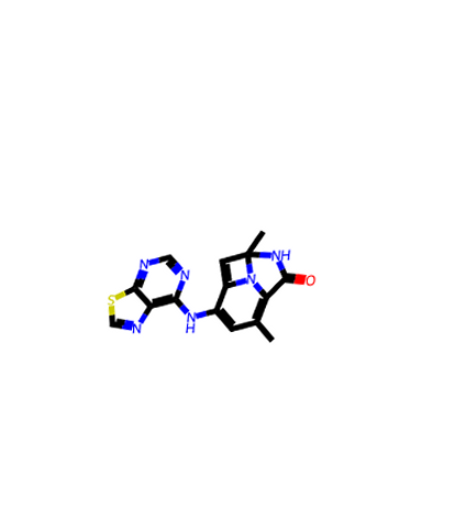 CC1=C2C(=O)NC3(C)C=C(C(Nc4ncnc5scnc45)=C1)N23